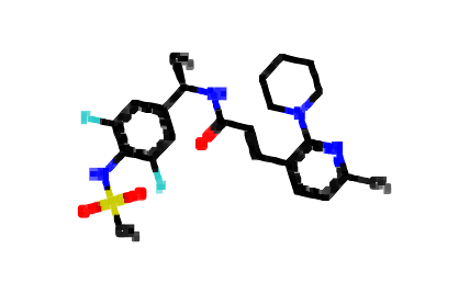 C[C@@H](NC(=O)/C=C/c1ccc(C(F)(F)F)nc1N1CCCCC1)c1cc(F)c(NS(C)(=O)=O)c(F)c1